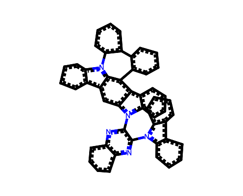 c1ccc2c(c1)-c1ccccc1-n1c3ccccc3c3cc4c(c-2c31)c1ccccc1n4-c1nc2ccccc2nc1-n1c2ccccc2c2ccccc21